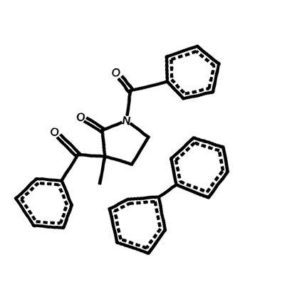 CC1(C(=O)c2ccccc2)CCN(C(=O)c2ccccc2)C1=O.c1ccc(-c2ccccc2)cc1